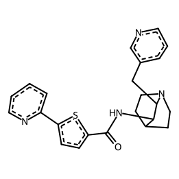 O=C(NC1C2CCN(CC2)C1Cc1cccnc1)c1ccc(-c2ccccn2)s1